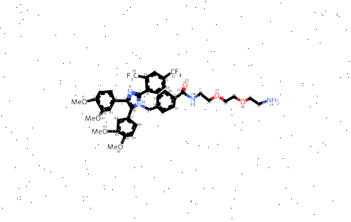 COc1ccc(-c2nc(-c3ccc(C(F)(F)F)cc3C(F)(F)F)n(Cc3ccc(C(=O)NCCOCCOCCN)cc3)c2-c2ccc(OC)c(OC)c2)cc1OC